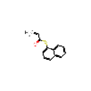 C=CC(=O)Sc1cccc2ccccc12